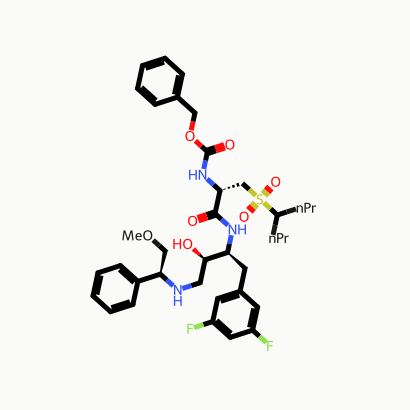 CCCC(CCC)S(=O)(=O)C[C@@H](NC(=O)OCc1ccccc1)C(=O)N[C@@H](Cc1cc(F)cc(F)c1)[C@H](O)CN[C@H](COC)c1ccccc1